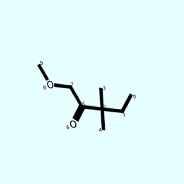 CCC(C)(C)C(=O)COC